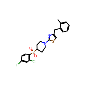 Cc1ccccc1Cc1csc(N2CCC(S(=O)(=O)c3ccc(F)cc3Cl)CC2)n1